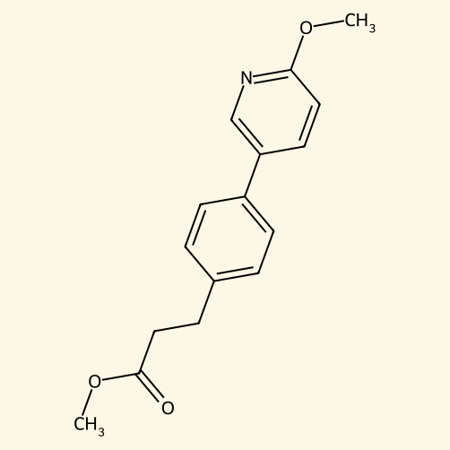 COC(=O)CCc1ccc(-c2ccc(OC)nc2)cc1